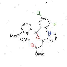 COC(=O)C[C@H]1O[C@H](c2cccc(OC)c2OC)c2cc(Cl)cc(F)c2-n2cccc21